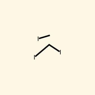 CI.ICI